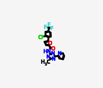 Cc1nc(NC(=O)c2ccc(-c3ccc(C(F)(F)F)cc3Cl)o2)nc(-c2ccccn2)n1